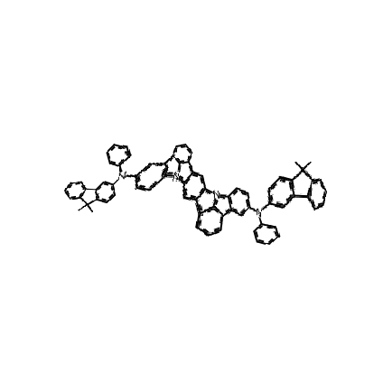 CC1(C)c2ccccc2-c2cc(N(c3ccccc3)c3ccc4c(c3)c3cccc5c6cc7c(cc6n4c35)c3cccc4c5cc(N(c6ccccc6)c6ccc8c(c6)-c6ccccc6C8(C)C)ccc5n7c43)ccc21